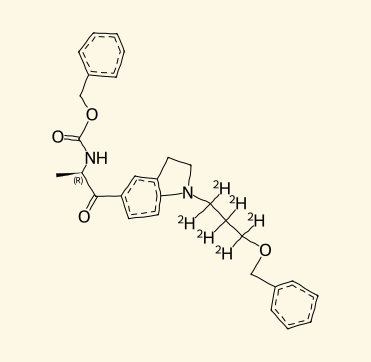 [2H]C([2H])(OCc1ccccc1)C([2H])([2H])C([2H])([2H])N1CCc2cc(C(=O)[C@@H](C)NC(=O)OCc3ccccc3)ccc21